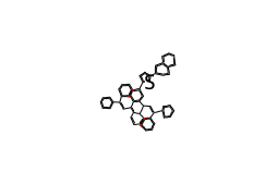 C1=CC2=C(C=C(c3ccccc3)c3ccccc3)c3ccc(-c4ccc(-c5ccc6ccccc6c5)s4)cc3C(C=C(c3ccccc3)c3ccccc3)C2C=C1